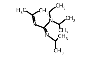 CCN(/C(N=C(C)C)=N\C(C)C)C(C)C